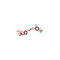 CCC1(C(=O)O)Cc2ccc(OCCCOc3ccc(OC(F)(F)F)cc3Cl)cc2O1